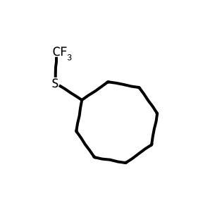 FC(F)(F)SC1CCCCCCC1